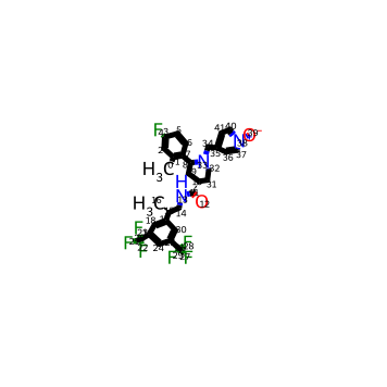 Cc1cc(F)ccc1C1C[C@@H](C(=O)NC[C@@H](C)c2cc(C(F)(F)F)cc(C(F)(F)F)c2)CCN1Cc1cc[n+]([O-])cc1